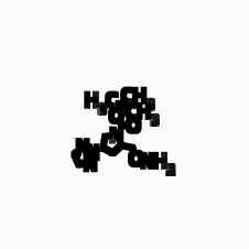 CC(C)(C)OC(=O)N1C[C@@H](n2nccn2)CC1CON